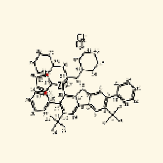 CC(C)(C)c1cc2c(cc1-c1ccccc1)Cc1c-2cc(C(C)(C)C)c(-c2ccccc2)[c]1[Zr+2](=[C](CC1CCCCC1)CC1CCCCC1)[CH]1C=CC=C1.[Cl-].[Cl-]